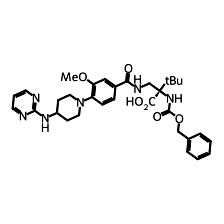 COc1cc(C(=O)NC[C@](NC(=O)OCc2ccccc2)(C(=O)O)C(C)(C)C)ccc1N1CCC(Nc2ncccn2)CC1